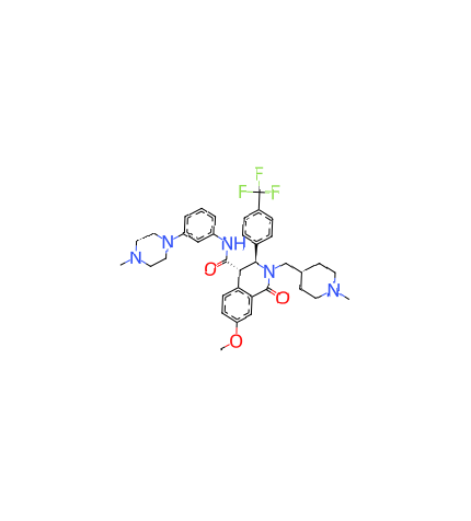 COc1ccc2c(c1)C(=O)N(CC1CCN(C)CC1)[C@H](c1ccc(C(F)(F)F)cc1)[C@H]2C(=O)Nc1cccc(N2CCN(C)CC2)c1